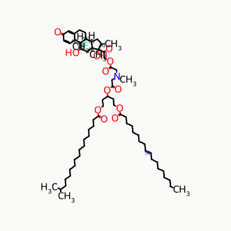 CCCCCCCC/C=C/CCCCCCCC(=O)OCCC(CCOC(=O)CCCCCCCCCCCCCCC(C)C)OC(=O)CN(C)CC(=O)OCC(=O)[C@@]1(O)[C@H](C)C[C@H]2[C@@H]3CCC4=CC(=O)C=C[C@]4(C)[C@@]3(F)[C@@H](O)C[C@@]21C